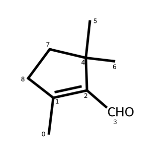 CC1=C(C=O)C(C)(C)CC1